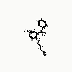 O=C(c1ccccc1)c1cc(Cl)ccc1OCCCCBr